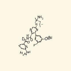 CC(C)COc1cc(F)cc(-c2nc(N3C[C@](C)(N)CC3(C)C)cnc2C(=O)NS(=O)(=O)c2cccc(NN)n2)c1